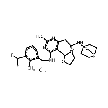 Cc1nc(CC(=O)NC23CCN(CC2)CC3)c(C2OCCO2)c(N[C@H](C)c2cccc(C(F)F)c2C)n1